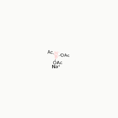 CC(=O)O[BH-](OC(C)=O)C(C)=O.[Na+]